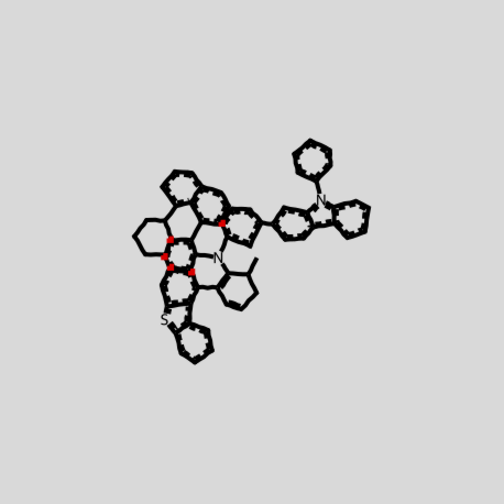 CC1CC=CC(c2cccc3sc4ccccc4c23)=C1N(c1cccc(-c2ccc3c4ccccc4n(-c4ccccc4)c3c2)c1)c1ccccc1-c1cccc2cccc(C3CCCCC3)c12